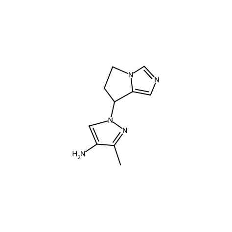 Cc1nn(C2CCn3cncc32)cc1N